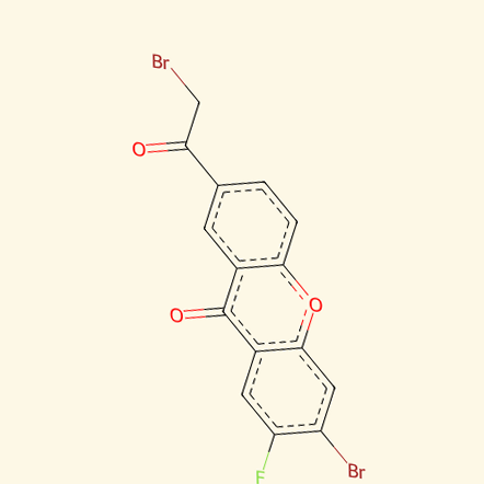 O=C(CBr)c1ccc2oc3cc(Br)c(F)cc3c(=O)c2c1